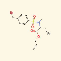 C=CCOC(=O)[C@@H](CC(C)C)N(C)S(=O)(=O)c1ccc(CBr)cc1